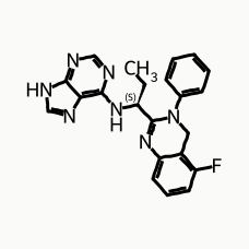 CC[C@H](Nc1ncnc2[nH]cnc12)C1=Nc2cccc(F)c2CN1c1ccccc1